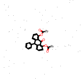 CC(C)C(=O)Oc1cccc2c1C(=O)c1c(OC(=O)C(C)C)cccc1C2c1ccccc1